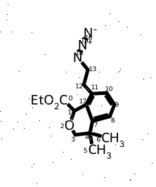 CCOC(=O)C1OCC(C)(C)c2cccc(CCN=[N+]=[N-])c21